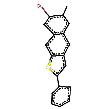 Cc1cc2cc3cc(-c4ccccc4)sc3cc2cc1Br